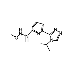 CONNc1cccc(-c2nncn2C(C)C)n1